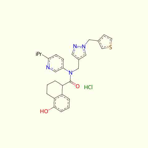 CC(C)c1ccc(N(Cc2cnn(Cc3ccsc3)c2)C(=O)C2CCCc3c(O)cccc32)cn1.Cl